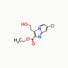 CCOC(=O)c1nc2cc(Cl)ccn2c1CCO